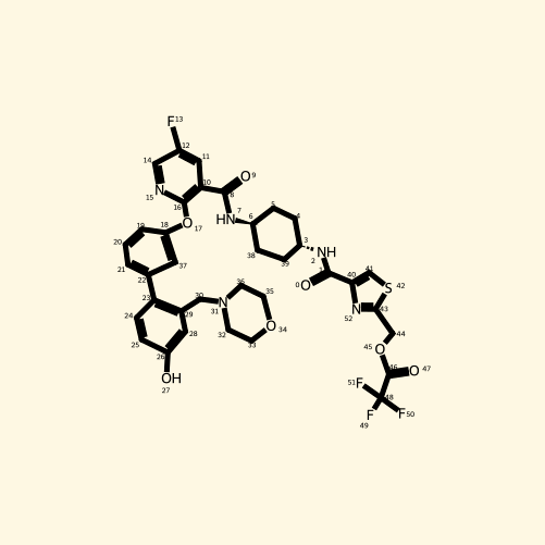 O=C(N[C@H]1CC[C@H](NC(=O)c2cc(F)cnc2Oc2cccc(-c3ccc(O)cc3CN3CCOCC3)c2)CC1)c1csc(COC(=O)C(F)(F)F)n1